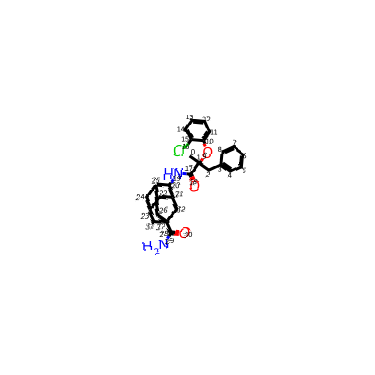 CC(Cc1ccccc1)(Oc1ccccc1Cl)C(=O)NC1C2CC3CC1CC(C(N)=O)(C3)C2